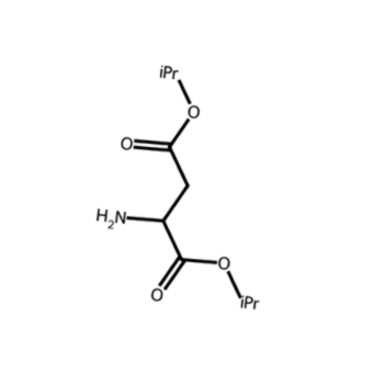 CC(C)OC(=O)CC(N)C(=O)OC(C)C